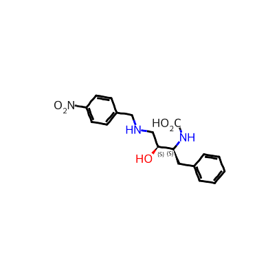 O=C(O)N[C@@H](Cc1ccccc1)[C@@H](O)CNCc1ccc([N+](=O)[O-])cc1